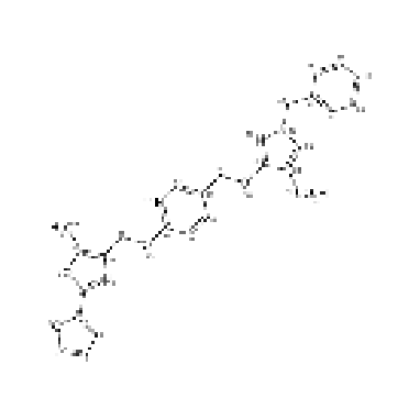 Cc1oc(-c2ccco2)nc1COc1ccc(COc2nn(Cc3ccccc3)cc2C(=O)O)cn1